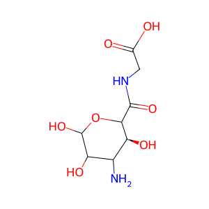 NC1C(O)C(O)OC(C(=O)NCC(=O)O)[C@H]1O